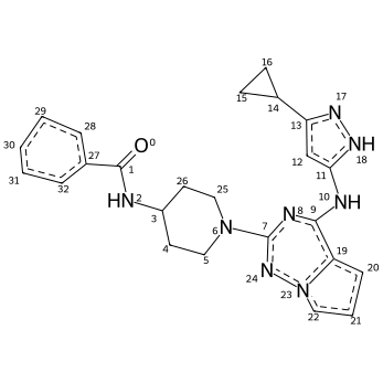 O=C(NC1CCN(c2nc(Nc3cc(C4CC4)n[nH]3)c3cccn3n2)CC1)c1ccccc1